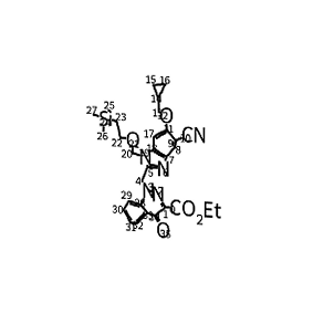 CCOC(=O)c1nn(Cc2nc3cc(C#N)c(OCC4CC4)cc3n2COCC[Si](C)(C)C)c2ccccc2c1=O